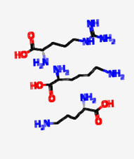 N=C(N)NCCC[C@H](N)C(=O)O.NCCCC[C@H](N)C(=O)O.NCCC[C@H](N)C(=O)O